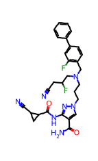 N#CCC(F)CN(CCCn1cc(C(N)=O)c(NC(=O)C2CC2C#N)n1)Cc1ccc(-c2ccccc2)cc1F